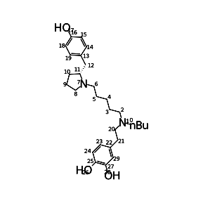 CCCCN(CCCCCN1CCC[C@@H]1Cc1ccc(O)cc1)CCc1ccc(O)c(O)c1